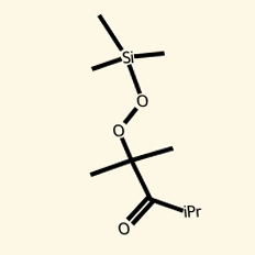 CC(C)C(=O)C(C)(C)OO[Si](C)(C)C